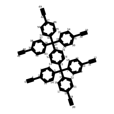 C#Cc1ccc(C(c2ccc(C#C)cc2)(c2ccc(C#C)cc2)c2ccc(C(c3ccc(C#C)cc3)(c3ccc(C#C)cc3)c3ccc(C#C)cc3)cc2)cc1